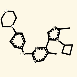 Cc1ncc(-c2nc(Nc3ccc(N4CCOCC4)cc3)ncc2F)n1C1CCC1